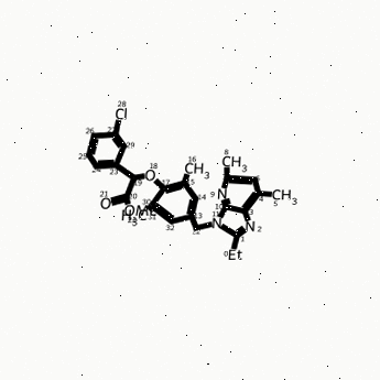 CCc1nc2c(C)cc(C)nc2n1Cc1cc(C)c(OC(C(=O)OC)c2cccc(Cl)c2)c(C)c1